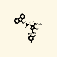 COC(=O)c1c(NC(=O)OCC2c3ccccc3-c3ccccc32)sc(C(=O)Nc2ccc(C)cc2C)c1Br